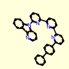 c1ccc(-c2ccc(-c3cccc(-c4cccc(-c5cccc(-n6c7ccccc7c7ncccc76)n5)n4)n3)cc2)cc1